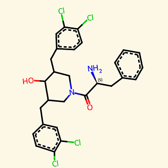 N[C@@H](Cc1ccccc1)C(=O)N1CC(Cc2ccc(Cl)c(Cl)c2)C(O)C(Cc2ccc(Cl)c(Cl)c2)C1